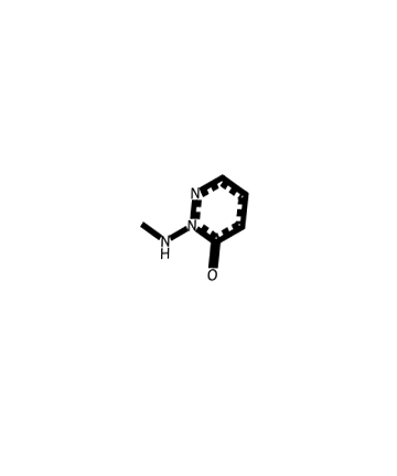 CNn1ncccc1=O